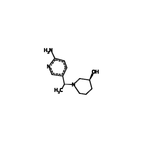 CC(c1ccc(N)nc1)N1CCC[C@H](O)C1